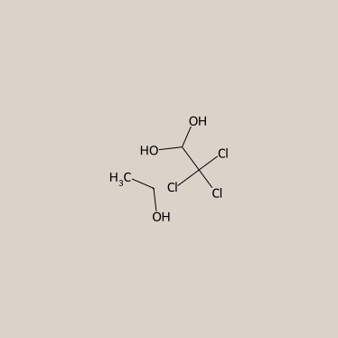 CCO.OC(O)C(Cl)(Cl)Cl